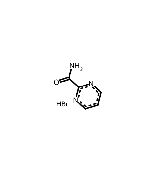 Br.NC(=O)c1ncccn1